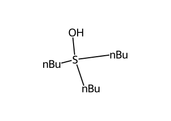 CCCCS(O)(CCCC)CCCC